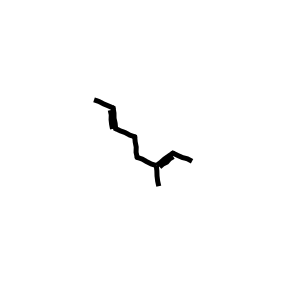 CC=CCCC(C)=CC